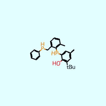 Cc1cc(Pc2c(C)cccc2CPc2ccccc2)c(O)c(C(C)(C)C)c1